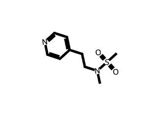 CN(CCc1ccncc1)S(C)(=O)=O